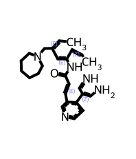 C\C=C/C(=C\C(=C/C)CN1CCCCCC1)NC(=O)/C=C/c1cnccc1/C(C=N)=C/N